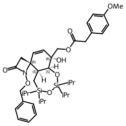 COc1ccc(CC(=O)OC[C@]2(O)C=C[C@]3(CC(=O)N3OCc3ccccc3)[C@@H]3C[Si](C(C)C)(C(C)C)O[Si](C(C)C)(C(C)C)O[C@@H]32)cc1